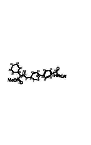 COC(=O)[C@@H](NCC1CCN(c2ccc(C(=O)NO)cc2)CC1)C1CCCCC1